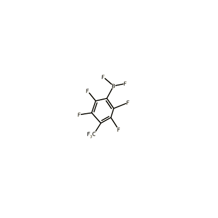 FB(F)c1c(F)c(F)c(C(F)(F)F)c(F)c1F